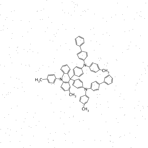 Cc1ccc(N(c2ccc(-c3ccccc3)cc2)c2ccc(C3(c4ccc(N(c5ccc(C)cc5)c5ccc(-c6ccccc6)cc5)cc4)c4ccccc4N(c4ccc(C)cc4)c4ccc(C)cc43)cc2)cc1